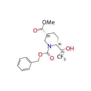 COC(=O)[C@@H]1CC[C@H]([C@H](O)C(F)(F)F)N(C(=O)OCc2ccccc2)C1